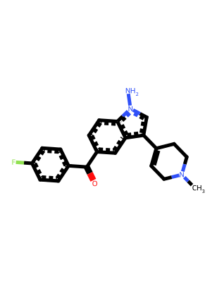 CN1CC=C(c2cn(N)c3ccc(C(=O)c4ccc(F)cc4)cc23)CC1